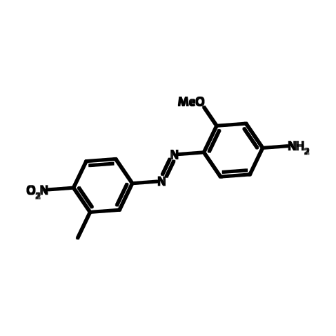 COc1cc(N)ccc1N=Nc1ccc([N+](=O)[O-])c(C)c1